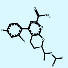 C[C@H](OC(F)F)[C@H]1CCc2c(-c3ccc(F)cc3F)cc(C(N)=O)nc2O1